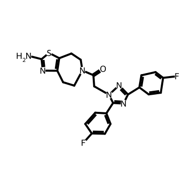 Nc1nc2c(s1)CCN(C(=O)Cn1nc(-c3ccc(F)cc3)nc1-c1ccc(F)cc1)CC2